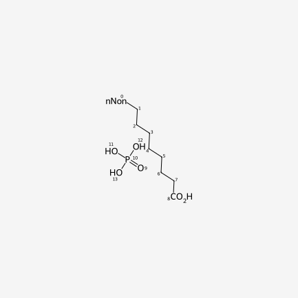 CCCCCCCCCCCCCCCCC(=O)O.O=P(O)(O)O